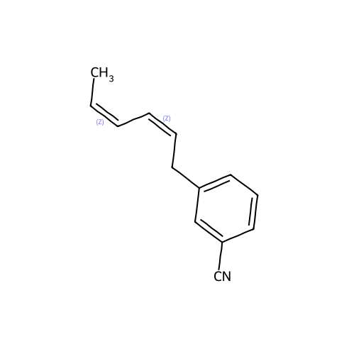 C/C=C\C=C/Cc1cccc(C#N)c1